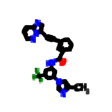 Cc1cn(-c2cc(NC(=O)c3cccc(C#Cc4cnc5cccnn45)c3)cc(C(F)(F)F)c2)cn1